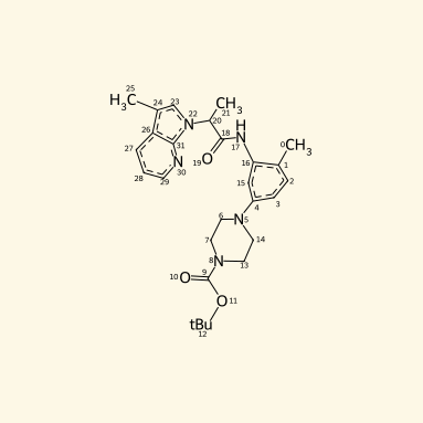 Cc1ccc(N2CCN(C(=O)OC(C)(C)C)CC2)cc1NC(=O)C(C)n1cc(C)c2cccnc21